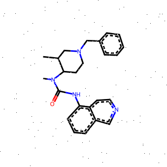 CC1CN(Cc2ccccc2)CCC1N(C)C(=O)Nc1cccc2cnccc12